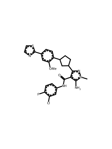 COc1cc(-c2nccs2)ccc1C1CCC(c2nn(C)c(N)c2C(=O)Nc2ccc(F)c(Cl)c2)C1